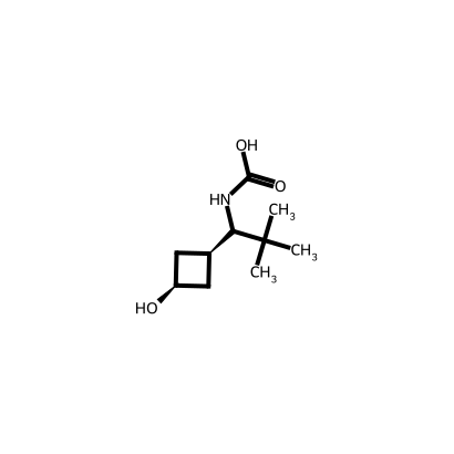 CC(C)(C)C(NC(=O)O)[C@H]1C[C@@H](O)C1